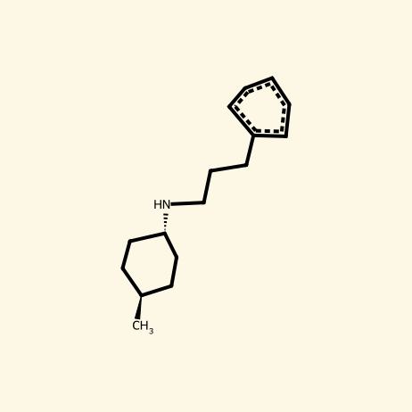 C[C@H]1CC[C@H](NCCCc2ccccc2)CC1